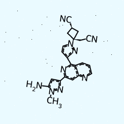 Cn1nc(-c2cc3ncccc3c(-c3ccn([C@]4(CC#N)C[C@@H](C#N)C4)n3)n2)cc1N